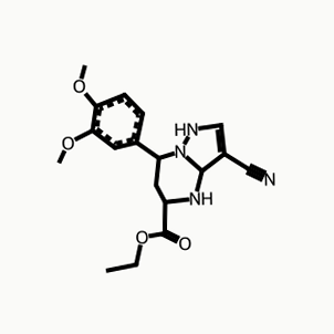 CCOC(=O)C1CC(c2ccc(OC)c(OC)c2)N2NC=C(C#N)C2N1